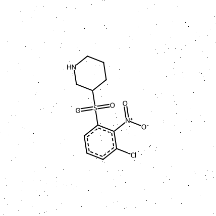 O=[N+]([O-])c1c(Cl)cccc1S(=O)(=O)C1CCCNC1